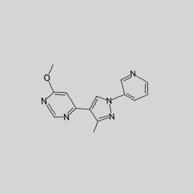 COc1cc(-c2cn(-c3cccnc3)nc2C)ncn1